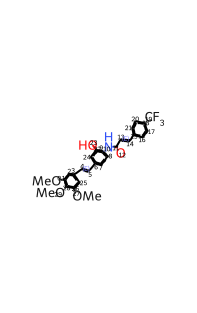 COc1cc(/C=C/c2ccc(NC(=O)/C=C/c3ccc(C(F)(F)F)cc3)c(O)c2)cc(OC)c1OC